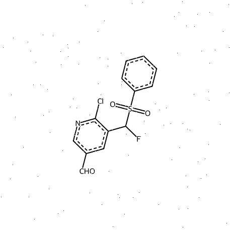 O=Cc1cnc(Cl)c(C(F)S(=O)(=O)c2ccccc2)c1